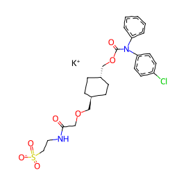 O=C(COC[C@H]1CC[C@H](COC(=O)N(c2ccccc2)c2ccc(Cl)cc2)CC1)NCCS(=O)(=O)[O-].[K+]